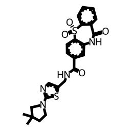 CC1(C)CCN(c2ncc(CNC(=O)c3ccc4c(c3)NC(=O)c3ccccc3S4(=O)=O)s2)C1